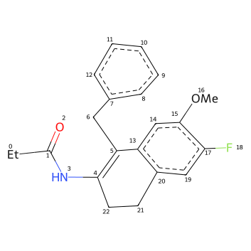 CCC(=O)NC1=C(Cc2ccccc2)c2cc(OC)c(F)cc2CC1